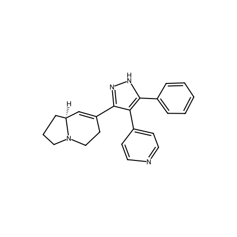 C1=C(c2n[nH]c(-c3ccccc3)c2-c2ccncc2)CCN2CCC[C@@H]12